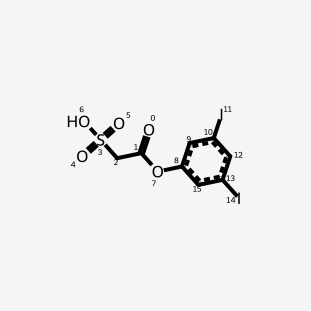 O=C(CS(=O)(=O)O)Oc1cc(I)cc(I)c1